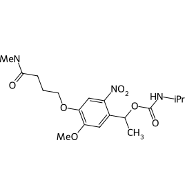 CNC(=O)CCCOc1cc([N+](=O)[O-])c(C(C)OC(=O)NC(C)C)cc1OC